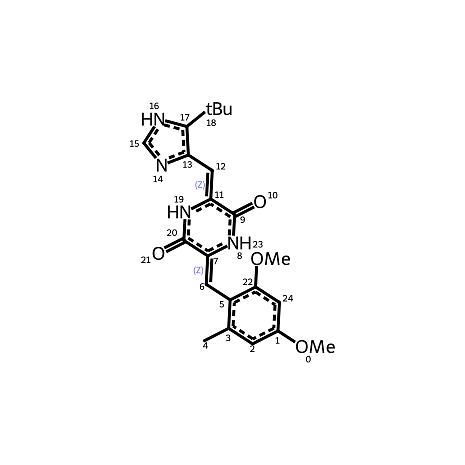 COc1cc(C)c(/C=c2\[nH]c(=O)/c(=C/c3nc[nH]c3C(C)(C)C)[nH]c2=O)c(OC)c1